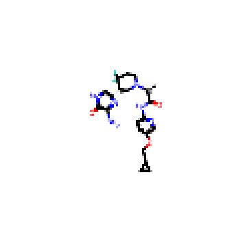 C[C@@H](C(=O)Nc1ccc(OCC2CC2)cn1)N1CCC(F)(F)[C@@H](c2c[nH]c(=O)c(N)n2)C1